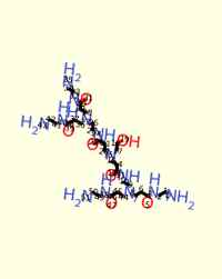 NCCNC(=O)CCN(CCNC(=O)CCN(CCO)CCC(=O)NCCN(CCC(=O)NCCN)CCC(=O)NCCN)CCC(=O)NCCN